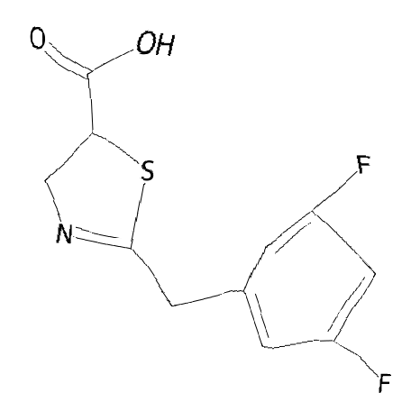 O=C(O)C1CN=C(Cc2cc(F)cc(F)c2)S1